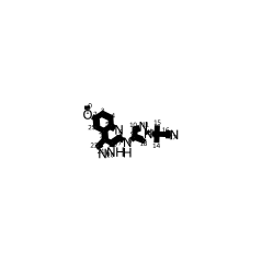 COc1ccc2nc(Nc3cnn(C(C)(C)C#N)c3)c3[nH]ncc3c2c1